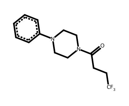 O=C(CCC(F)(F)F)N1CCN(c2ccccc2)CC1